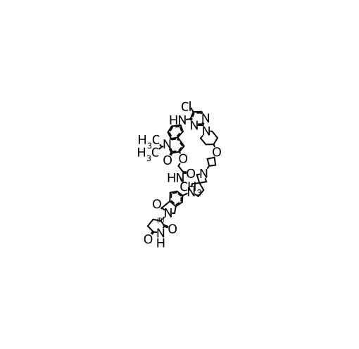 CNC(=O)COc1cc2cc(Nc3nc(N4CCC(OC5CC(N6CC7(CCN(c8ccc9c(c8)CN([C@@H]8CCC(=O)NC8=O)C9=O)C7)C6)C5)CC4)ncc3Cl)ccc2n(C(C)C)c1=O